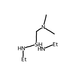 CCN[SiH](CN(C)C)NCC